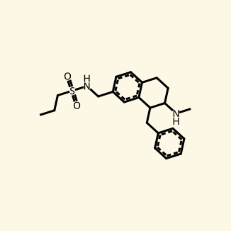 CCCS(=O)(=O)NCc1ccc2c(c1)C(Cc1ccccc1)C(NC)CC2